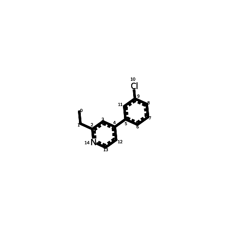 CCc1cc(-c2cccc(Cl)c2)ccn1